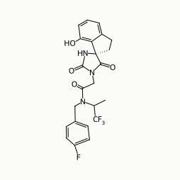 CC(N(Cc1ccc(F)cc1)C(=O)CN1C(=O)N[C@]2(CCc3cccc(O)c32)C1=O)C(F)(F)F